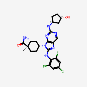 C[C@]1(C(N)=O)CC[C@H](n2c(Nc3c(F)cc(Cl)cc3F)nc3cnc(N[C@H]4CC[C@H](O)C4)nc32)CC1